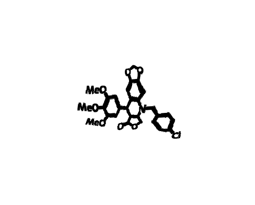 COc1cc(C2C3=C(COC3=O)N(Cc3ccc(Cl)cc3)c3cc4c(cc32)OCO4)cc(OC)c1OC